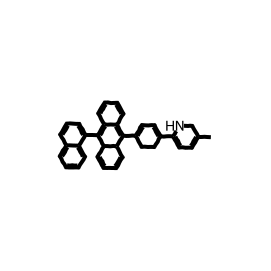 CC1=CC=C(C2=CC=C(C3=c4ccccc4=C(c4cccc5ccccc45)C4C=CC=CC34)CC2)NC1